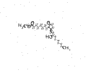 CCCCCCCC(O)CSC1CCC(=O)C1CCCCCCCC(=O)OCC